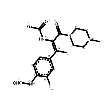 CCC(=O)N/C(C(=O)N1CCN(C)CC1)=C(/C)c1ccc(NC=O)c(F)c1